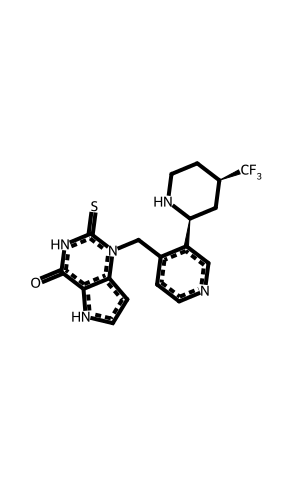 O=c1[nH]c(=S)n(Cc2ccncc2[C@@H]2C[C@H](C(F)(F)F)CCN2)c2cc[nH]c12